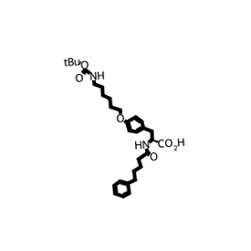 CC(C)(C)OC(=O)NCCCCCCOc1ccc(C[C@H](NC(=O)CCCCc2ccccc2)C(=O)O)cc1